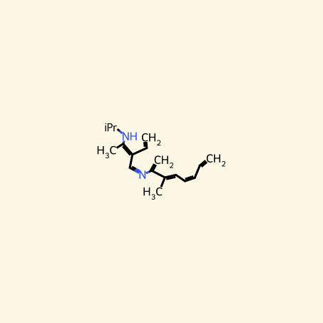 C=C/C=C\C=C(/C)C(=C)/N=C\C(C=C)=C(/C)NC(C)C